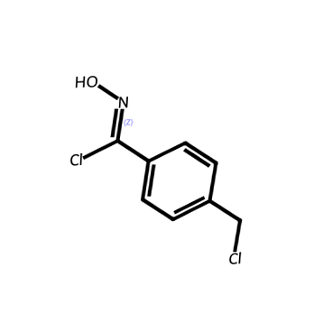 O/N=C(\Cl)c1ccc(CCl)cc1